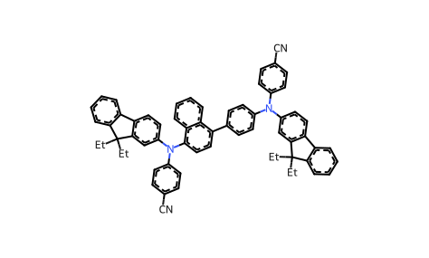 CCC1(CC)c2ccccc2-c2ccc(N(c3ccc(C#N)cc3)c3ccc(-c4ccc(N(c5ccc(C#N)cc5)c5ccc6c(c5)C(CC)(CC)c5ccccc5-6)c5ccccc45)cc3)cc21